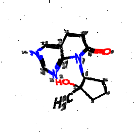 C[C@]1(O)CCC[C@@H]1n1c(=O)ccc2cncnc21